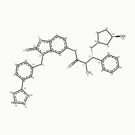 CN(C(=O)Cc1ccc2oc(=O)n(Cc3cccc(-c4nn[nH]n4)c3)c2c1)[C@H](CN1CC[C@@H](O)C1)c1ccccc1